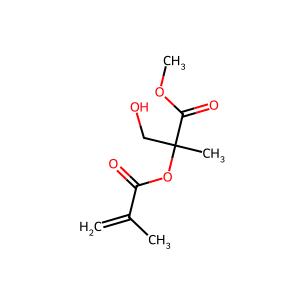 C=C(C)C(=O)OC(C)(CO)C(=O)OC